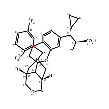 C[C@H](C(=O)O)[C@H](c1ccc2c(c1)OC(C1[C@@H]3COC[C@H]1CN(Cc1cc(C(F)(F)F)ccc1C(F)(F)F)C3)CC2)C1CC1